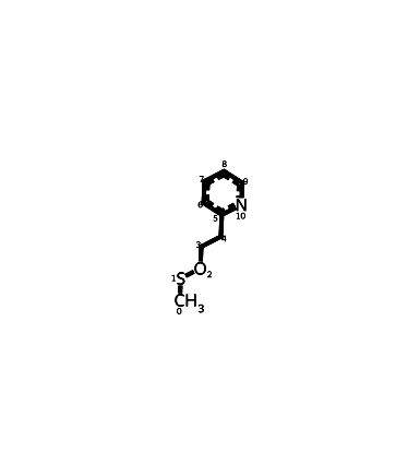 CSOCCc1ccccn1